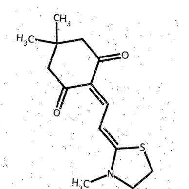 CN1CCS/C1=C\C=C1C(=O)CC(C)(C)CC1=O